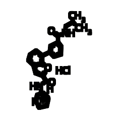 CC(C)CNC(=O)c1cccc(-c2cccc3cc(C(=O)N[C@@H]4CN5CCC4CC5)oc23)c1.Cl